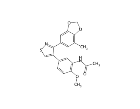 COc1ccc(-c2csnc2-c2cc(C)c3c(c2)OCO3)cc1NC(C)=O